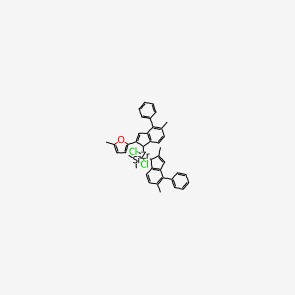 CC1=Cc2c(ccc(C)c2-c2ccccc2)[CH]1[Zr]([Cl])([Cl])([CH]1C(c2ccc(C)o2)=Cc2c1ccc(C)c2-c1ccccc1)=[Si](C)C